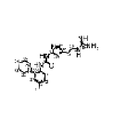 Cc1ccc(NC(=O)Nc2ncc(CCNC(=N)N)s2)c(N2CCCCC2)c1